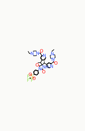 CCN1CCN(C(=O)c2cc(C(C)C3(C(C)c4ccnc(C(=O)N5CCN(CC)CC5)c4)NC(=O)N(c4ccc(S(=O)(=O)C(F)(F)F)cc4)C3=O)ccn2)CC1